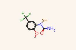 COc1ccc(C(F)(F)F)cc1N(S)C(N)=O